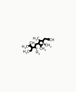 C#CCC1C(C)C(CC(C)C(CC)=C(C)C)C(C)P1C